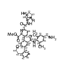 COC(=O)c1nc(C(=O)N[C@H]2C[C@@H]3CC[C@H]2C3)ccc1-c1cc2c(cc1C(=O)Nc1c(C)cc(CN)cc1C)-c1sccc1CCO2